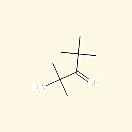 CC(C)(C)C(=N)C(C)(C)N